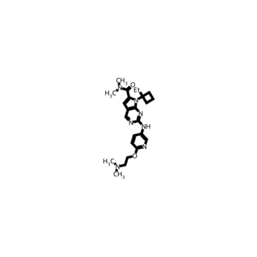 CCC1(n2c(C(=O)N(C)C)cc3cnc(Nc4ccc(OCCN(C)C)nc4)nc32)CCC1